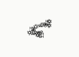 O=C(COc1ccccc1CNC[C@H](O)c1ccc(O)c2[nH]c(=O)ccc12)NC1CCC(CCN2CCC(OC(=O)Nc3ccccc3-c3ccccc3)CC2)CC1